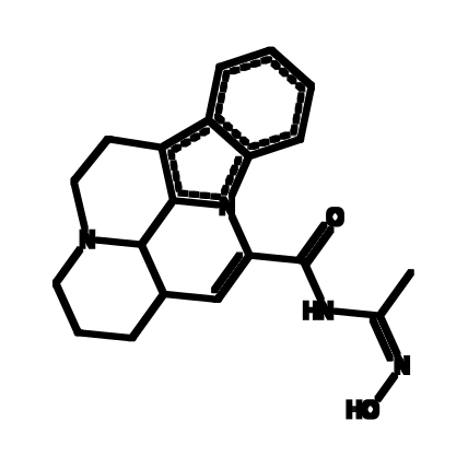 C/C(=N/O)NC(=O)C1=CC2CCCN3CCc4c(n1c1ccccc41)C23